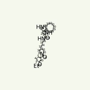 CCOc1cccc(C(=O)N2CCC(CCCCNC(=O)c3cc4c([nH]3)C3(CCCCCCCCC3)CNC4)CC2)c1